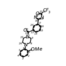 COc1ccccc1N1CCN(C(=O)c2cccc(-c3noc(C(F)(F)F)n3)c2)CC1